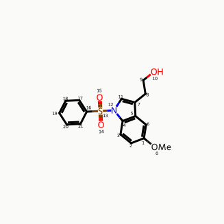 COc1ccc2c(c1)c(CCO)cn2S(=O)(=O)c1ccccc1